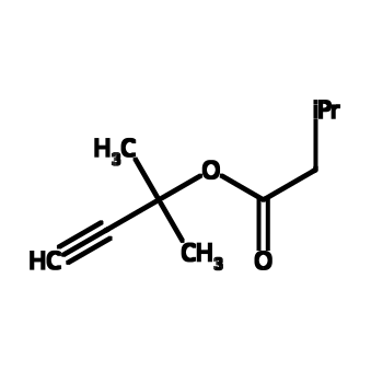 C#CC(C)(C)OC(=O)CC(C)C